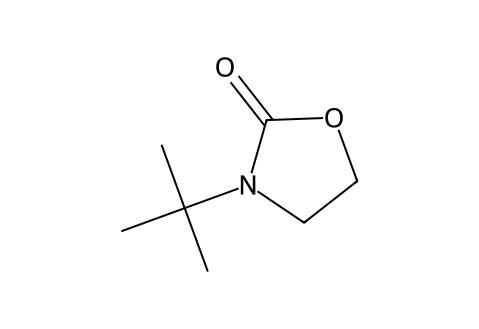 CC(C)(C)N1CCOC1=O